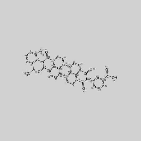 CCc1cccc(C)c1N1C(=O)c2ccc3c4ccc5c6c(ccc(c7ccc(c2c37)C1=O)c64)C(=O)N(c1cccc(C(=O)O)c1)C5=O